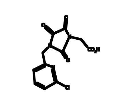 O=C(O)CN1C(=O)C(=O)N(Cc2cccc(Cl)n2)C1=O